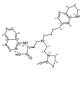 O=C(O)[C@H](CCN(CCCCc1ccc2c(n1)NCCC2)CCN1CCCC1=O)Nc1ncnc2ccccc12